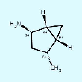 C[C@@H]1C[C@@H](N)[C@@H]2C[C@@H]21